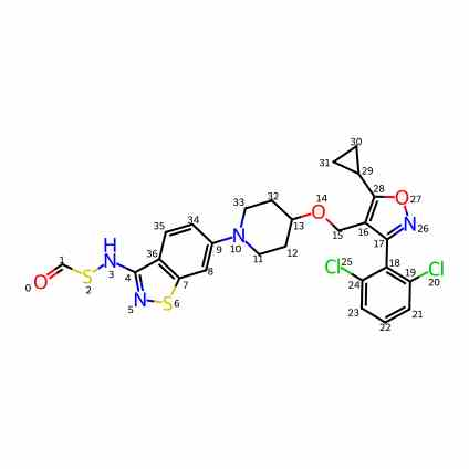 O=CSNc1nsc2cc(N3CCC(OCc4c(-c5c(Cl)cccc5Cl)noc4C4CC4)CC3)ccc12